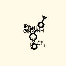 CC(C)c1nc2c(c(Nc3ccc(C4CC4)cc3)n1)CCN(c1ncccc1C(F)(F)F)CC2.O=C(O)O